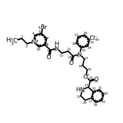 CCC[n+]1cc(Br)cc(C(=O)NCCC(=O)N(CCCOC(=O)C2NCCc3ccccc32)c2ccccc2)c1.[Cl-]